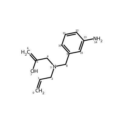 C=CCN(CC(=C)O)Cc1cccc(N)c1